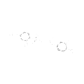 CCCc1ccc(S(=O)(=O)NCC(C)Sc2ccc([O])c(C)c2)c(CCC)c1